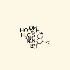 CC(C)(Sc1nnc(Br)n1-c1c(Cl)cc(C2CC2)c2ccccc12)C(O)O